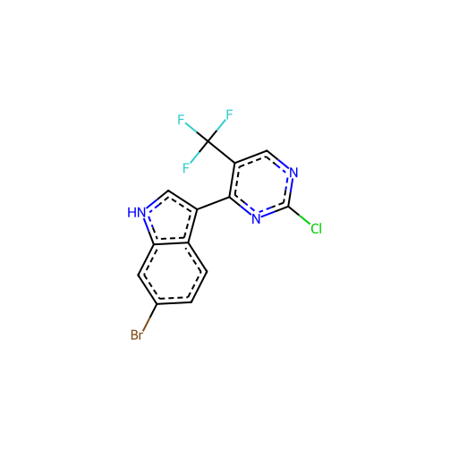 FC(F)(F)c1cnc(Cl)nc1-c1c[nH]c2cc(Br)ccc12